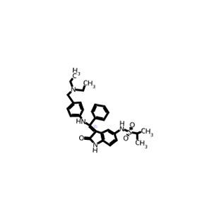 CCN(CC)Cc1ccc(N/C(=C2\C(=O)Nc3ccc(NS(=O)(=O)C(C)C)cc32)c2ccccc2)cc1